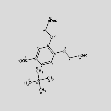 CCCCCCCCCCCOc1ccc(C(=O)[O-])cc1OCCCCCCCCCCC.C[N+](C)(C)C